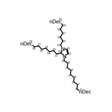 CCCCCCCCCCCCCCCCCCCN1C=CN(CCCCCCCCCCCCCCCC)C1CCCCCCCCCCCCCCCCC